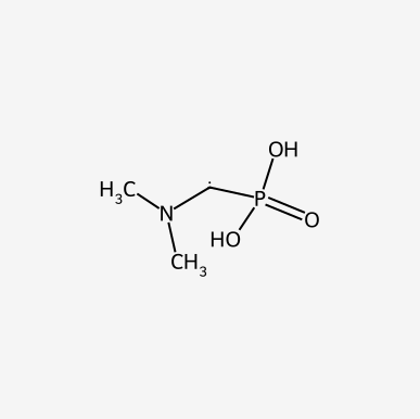 CN(C)[CH]P(=O)(O)O